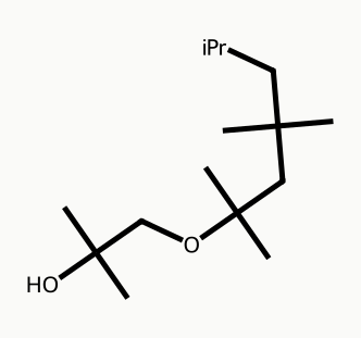 CC(C)CC(C)(C)CC(C)(C)OCC(C)(C)O